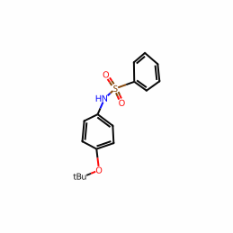 CC(C)(C)Oc1ccc(NS(=O)(=O)c2ccccc2)cc1